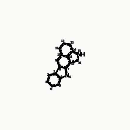 c1ccc2c(c1)N=c1c-2cc2cccc3[nH]cc1c23